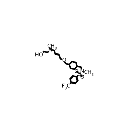 CN(C/C=C/COCC1CCC(CN(C)S(=O)(=O)c2ccc(C(F)(F)F)cc2)CC1)CCO